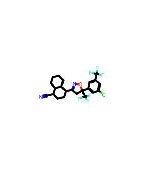 N#CC1CCC(C2=NOC(c3cc(Cl)cc(C(F)(F)F)c3)(C(F)(F)F)C2)C2CCCCC12